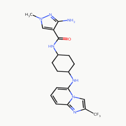 Cn1cc(C(=O)NC2CCC(Nc3cccc4nc(C(F)(F)F)cn34)CC2)c(N)n1